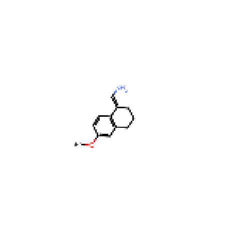 CC(C)Oc1ccc2c(c1)CCCC2=CN